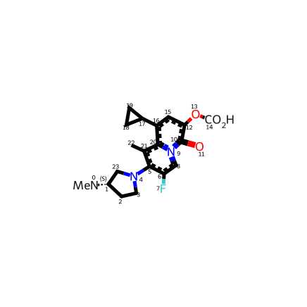 CN[C@H]1CCN(c2c(F)cn3c(=O)c(OC(=O)O)cc(C4CC4)c3c2C)C1